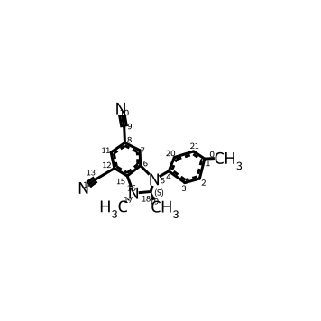 Cc1ccc(N2c3cc(C#N)cc(C#N)c3N(C)[C@@H]2C)cc1